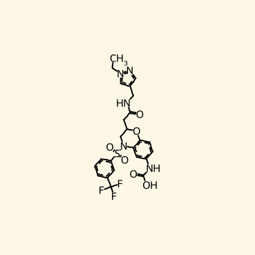 CCn1cc(CNC(=O)CC2CN(S(=O)(=O)c3cccc(C(F)(F)F)c3)c3cc(NC(=O)O)ccc3O2)cn1